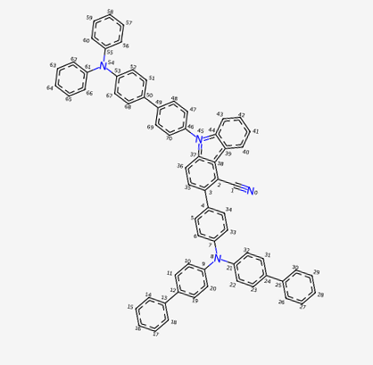 N#Cc1c(-c2ccc(N(c3ccc(-c4ccccc4)cc3)c3ccc(-c4ccccc4)cc3)cc2)ccc2c1c1ccccc1n2-c1ccc(-c2ccc(N(c3ccccc3)c3ccccc3)cc2)cc1